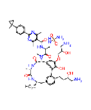 Cc1nc(-c2ccc(C3(C)CC3)cc2)nc(C)c1C(=O)N[C@@H](CNS(N)(=O)=O)C(=O)N(C)[C@@H]1C(=O)N[C@@H](C)C(=O)N[C@H](C(=O)O)Cc2ccc(CC[C@H](O)CN)c(c2)-c2cc1cc(OC[C@H](O)CN)c2O